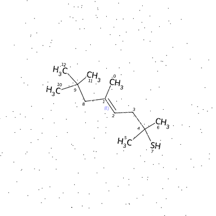 C/C(=C\CC(C)(C)S)CC(C)(C)C